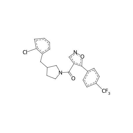 O=C(c1cnoc1-c1ccc(C(F)(F)F)cc1)N1CCC(Cc2ccccc2Cl)C1